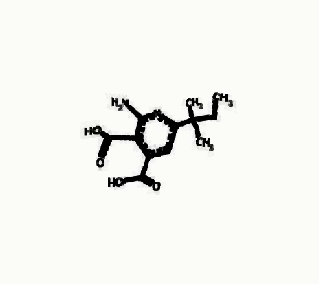 CCC(C)(C)c1cc(C(=O)O)c(C(=O)O)c(N)n1